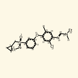 CCN=S(=O)(CC1CC1)c1cccc(Oc2cc(Cl)c(N=CN(C)CC)cc2C)c1